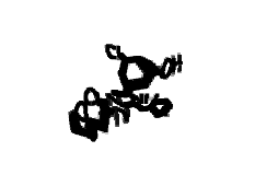 O=c1c(Cc2ccco2)nc2c(Cc3ccccc3)[nH]c(-c3cc(O)cc(Cl)c3)cn1-2